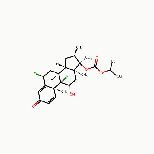 CCC(OC(=O)O[C@]1(C(=O)O)[C@H](C)C[C@H]2[C@@H]3C[C@H](F)C4=CC(=O)C=C[C@]4(C)[C@@]3(F)[C@@H](O)C[C@@]21C)C(C)(C)C